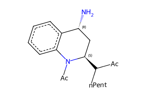 CCCCCC(C(C)=O)[C@@H]1C[C@@H](N)c2ccccc2N1C(C)=O